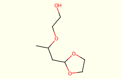 CC(CC1OCCO1)OCCO